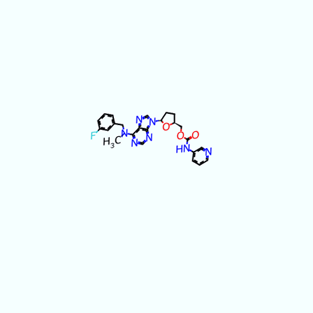 CN(Cc1cccc(F)c1)c1ncnc2c1ncn2[C@H]1CC[C@@H](COC(=O)Nc2cccnc2)O1